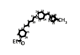 CCC(=O)[C@H]1CC[C@@H](CCCCCN2CCC(Cn3cc(C)cn3)CC2)CC1